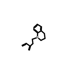 C=CC(=C)CCN1CCCc2ccccc21